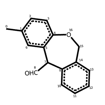 Cc1ccc2c(c1)C(C=O)c1ccccc1CO2